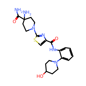 NC(=O)C1(N)CCN(c2nc(C(=O)Nc3ccccc3N3CCC(O)CC3)cs2)CC1